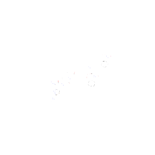 CC1(C)S[C@@H]2[C@@H](NC(=O)/C(=N\OC3CCCC3)c3csc(N)n3)C(=O)N2[C@H]1C(=O)OCOC(=O)c1ccccc1N(C(=O)CN)C(=O)OCc1ccc([N+](=O)[O-])cc1